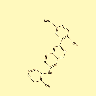 CNc1ccc(C)c(-c2cc3cnc(Nc4cnccc4C)nc3cn2)c1